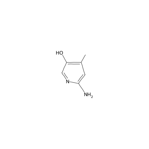 Cc1cc(N)ncc1O